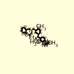 CC[C@@H]1CN(Cc2cc([C@@H](CC(=O)O)c3ccc4c(nnn4C)c3C)ccc2C)Cc2ccccc2O1